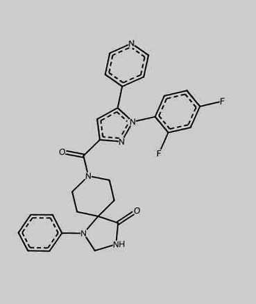 O=C(c1cc(-c2ccncc2)n(-c2ccc(F)cc2F)n1)N1CCC2(CC1)C(=O)NCN2c1ccccc1